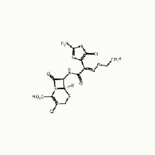 Nc1nc(/C(=N\OCC(=O)O)C(=O)NC2C(=O)N3C(C(=O)O)=C(Cl)CS[C@H]23)c(Cl)s1